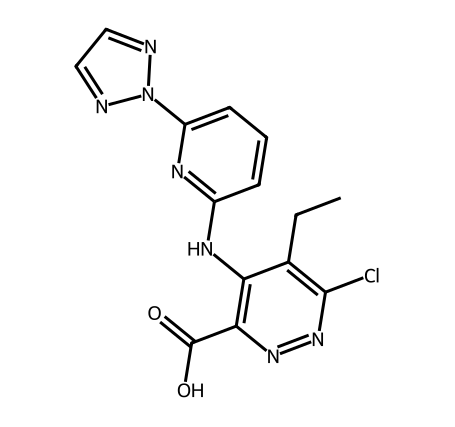 CCc1c(Cl)nnc(C(=O)O)c1Nc1cccc(-n2nccn2)n1